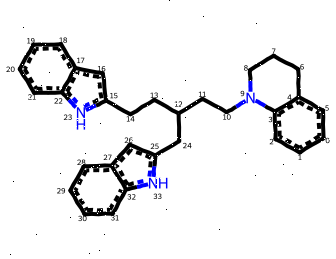 c1ccc2c(c1)CCCN2CCC(CCc1cc2ccccc2[nH]1)Cc1cc2ccccc2[nH]1